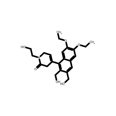 CCOc1cc2cc(CO)c(CO)c(C3=CCN(CCO)C(=O)C3)c2cc1OCC